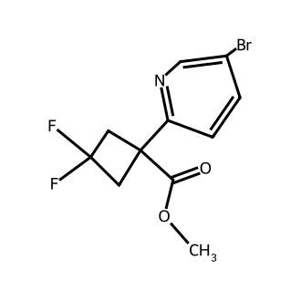 COC(=O)C1(c2ccc(Br)cn2)CC(F)(F)C1